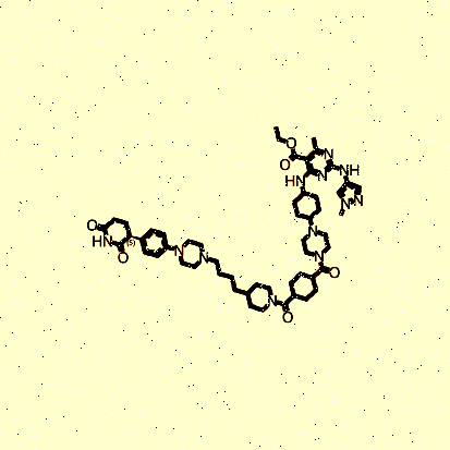 CCOC(=O)c1c(C)nc(Nc2cnn(C)c2)nc1NC1CCC(N2CCN(C(=O)C3CCC(C(=O)N4CCC(CCCCN5CCN(c6ccc([C@@H]7CCC(=O)NC7=O)cc6)CC5)CC4)CC3)CC2)CC1